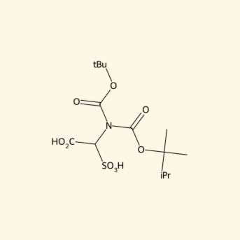 CC(C)C(C)(C)OC(=O)N(C(=O)OC(C)(C)C)C(C(=O)O)S(=O)(=O)O